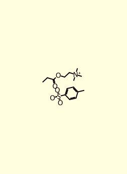 CCC(=O)OCC[N+](C)(C)C.Cc1ccc(S(=O)(=O)[O-])cc1